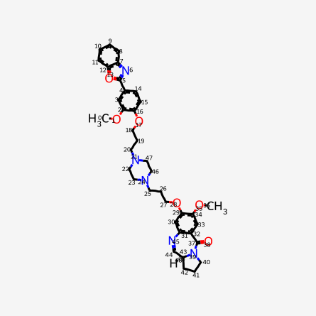 COc1cc(-c2nc3ccccc3o2)ccc1OCCCN1CCN(CCCOc2cc3c(cc2OC)C(=O)N2CCC[C@H]2C=N3)CC1